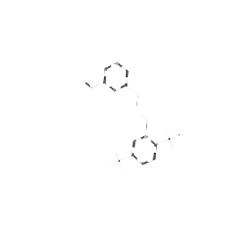 O=Cc1cccc(COCc2cc(C(F)(F)F)ccc2C(F)(F)F)c1